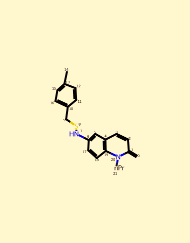 C=C1C=Cc2cc(NSCc3ccc(C)cc3)ccc2N1CCC